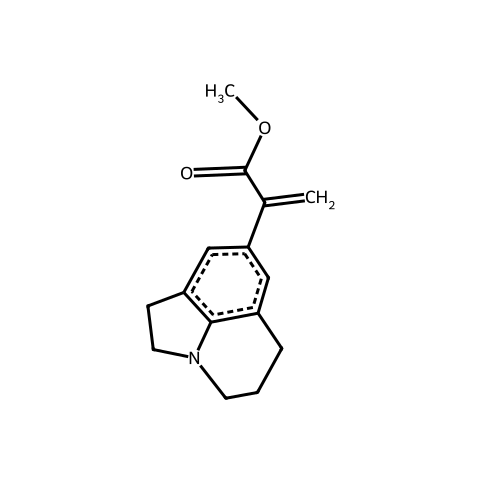 C=C(C(=O)OC)c1cc2c3c(c1)CCN3CCC2